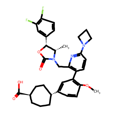 COc1ccc([C@@H]2CCC[C@@H](C(=O)O)CC2)cc1-c1ccc(N2CCC2)nc1CN1C(=O)O[C@H](c2ccc(F)c(F)c2)[C@@H]1C